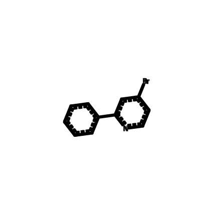 Brc1ccnc(-c2ccccc2)c1